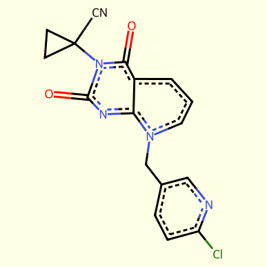 N#CC1(n2c(=O)nc3n(Cc4ccc(Cl)nc4)cccc-3c2=O)CC1